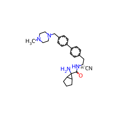 CN1CCN(Cc2ccc(-c3ccc(C[C@H](C#N)NC(=O)C4(N)C5CCCC54)cc3)cc2)CC1